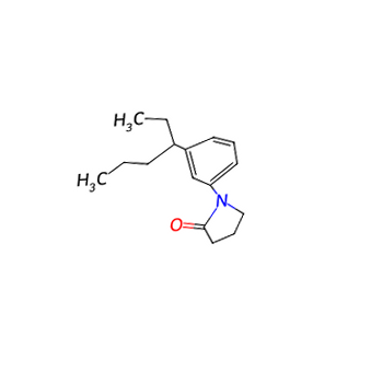 CCCC(CC)c1cccc(N2CCCC2=O)c1